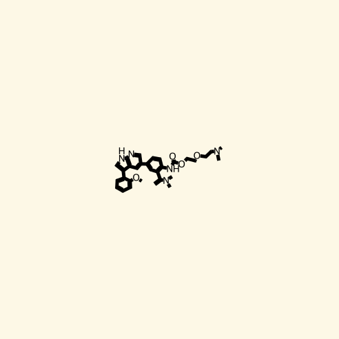 C=C(c1cc(-c2cnc3[nH]cc(-c4ccccc4OC)c3c2)ccc1NC(=O)OCCOCCN(C)C)N(C)C